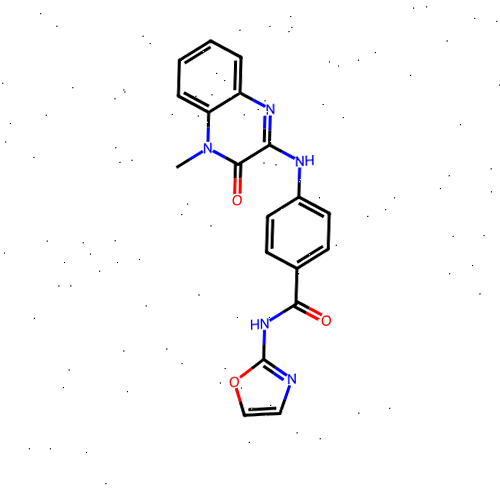 Cn1c(=O)c(Nc2ccc(C(=O)Nc3ncco3)cc2)nc2ccccc21